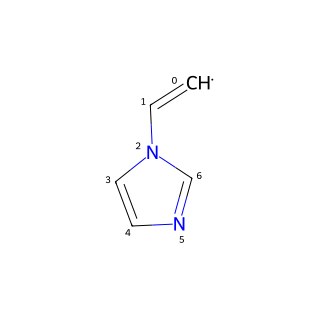 [CH]=Cn1ccnc1